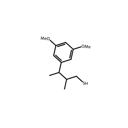 COc1cc(OC)cc(C(C)C(C)CS)c1